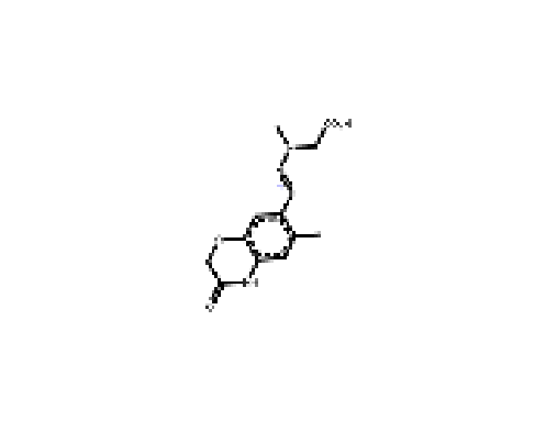 Cc1cc2c(cc1/N=N/N(C)CC(=O)O)OCC(=O)N2